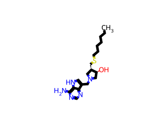 CCCCCCCSC[C@H]1CN(Cc2c[nH]c3c(N)ncnc23)C[C@H]1O